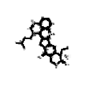 CC[C@@]1(O)C(=O)OCc2c1cc1n(c2=O)Cc2c-1nc1cccc3c1c2N(CCC(C)C)C=N3